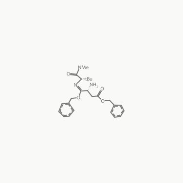 CNC(=O)[C@@H](N=C(OCc1ccccc1)[C@H](N)CC(=O)OCc1ccccc1)C(C)(C)C